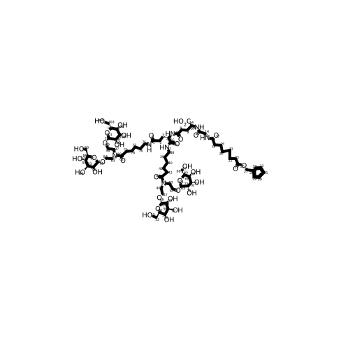 O=C(CC[C@H](NC(=O)CC[C@H](NC(=O)CNC(=O)CCCCCCC(=O)OCc1ccccc1)C(=O)O)C(=O)NCCCCCC(=O)N(CCO[C@H]1O[C@H](CO)[C@@H](O)[C@H](O)[C@@H]1O)CCO[C@H]1O[C@H](CO)[C@@H](O)[C@H](O)[C@@H]1O)NCCCCCC(=O)N(CCO[C@H]1O[C@H](CO)[C@@H](O)[C@H](O)[C@@H]1O)CCO[C@H]1O[C@H](CO)[C@@H](O)[C@H](O)[C@@H]1O